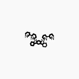 c1cncc(-c2cccc(-n3c4c(c5cc6c7ccccc7n(-c7cccc(-c8cccnc8)n7)c6cc53)CCCC4)n2)c1